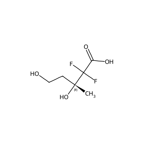 C[C@@](O)(CCO)C(F)(F)C(=O)O